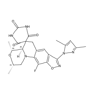 Cc1cc(C)n(-c2noc3c(F)c4c(cc23)CC2(C(=O)NC(=O)NC2=O)[C@@H]2[C@@H](C)O[C@@H](C)CN42)n1